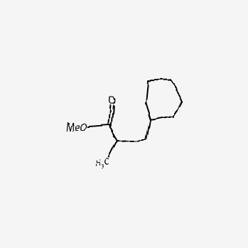 COC(=O)C(C)CC1CCCCC1